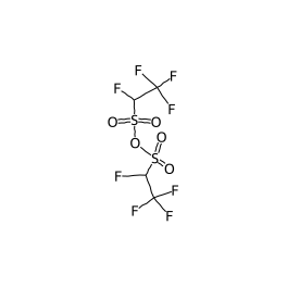 O=S(=O)(OS(=O)(=O)C(F)C(F)(F)F)C(F)C(F)(F)F